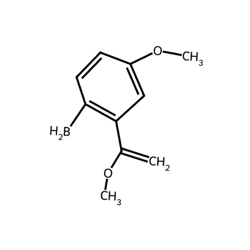 Bc1ccc(OC)cc1C(=C)OC